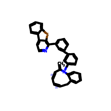 C=C1/C=C\C=C/Cc2ccccc2N1c1cccc(-c2cccc(-c3nccc4c3sc3ccccc34)c2)c1